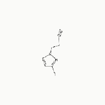 C#CCCn1ccc(I)n1